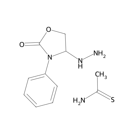 CC(N)=S.NNC1COC(=O)N1c1ccccc1